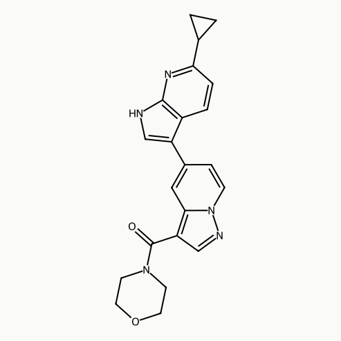 O=C(c1cnn2ccc(-c3c[nH]c4nc(C5CC5)ccc34)cc12)N1CCOCC1